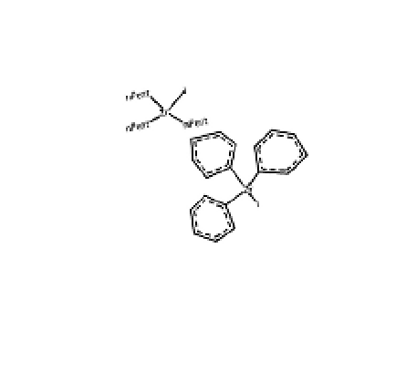 CCCC[CH2][Zr]([I])([CH2]CCCC)[CH2]CCCC.[I][Zr]([c]1ccccc1)([c]1ccccc1)[c]1ccccc1